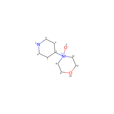 [O-][N+]1(C2CC[N]CC2)CCOCC1